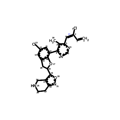 C=C/C(Cl)=C\c1ncnc(-c2cc(Cl)cc3c2OC(c2onc4c2CNCC4)C3)c1C